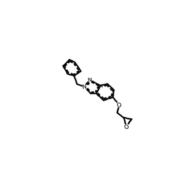 c1ccc(Cn2cc3cc(OCC4CO4)ccc3n2)cc1